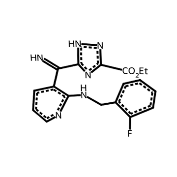 CCOC(=O)c1n[nH]c(C(=N)c2cccnc2NCc2ccccc2F)n1